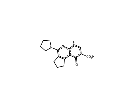 O=C(O)c1c[nH]c2nc(N3CCCC3)c3c(c2c1=O)CCC3